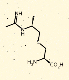 CC(=N)N[C@@H](C)CSC[C@H](N)C(=O)O